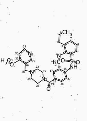 C=Nc1c(/C=C\C)cccc1S(=O)(=O)Nc1ccc(C(=O)N2CCN(Cc3cnccc3OC)CC2)cc1